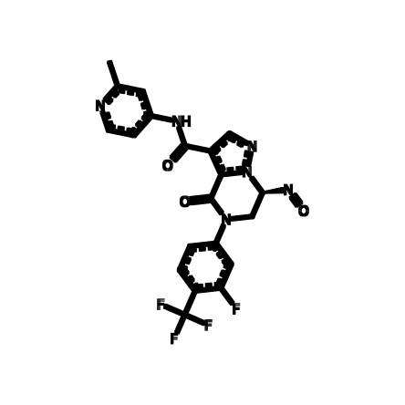 Cc1cc(NC(=O)c2cnn3c2C(=O)N(c2ccc(C(F)(F)F)c(F)c2)C[C@@H]3N=O)ccn1